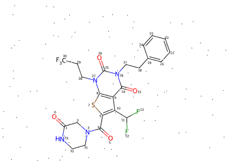 O=C1CN(C(=O)c2sc3c(c2C(F)F)c(=O)n(CCc2ccccc2)c(=O)n3CCC(F)(F)F)CCN1